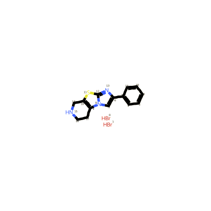 Br.Br.c1ccc(-c2cn3c4c(sc3n2)CNCC4)cc1